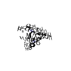 CC(C)(O/N=C(\C(=O)N[C@@H]1C(O)N2CC(SC3CN(C(=O)/C(=N\O)c4ccc(O)c(O)c4Cl)C3)(C(=O)O)SC12)c1csc(N)n1)C(=O)O